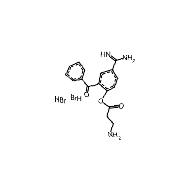 Br.Br.N=C(N)c1ccc(OC(=O)CCN)c(C(=O)c2ccccc2)c1